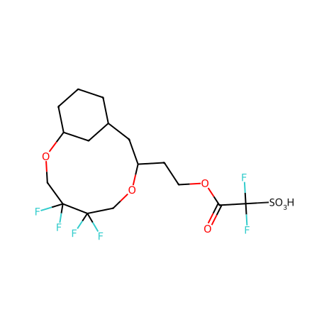 O=C(OCCC1CC2CCCC(C2)OCC(F)(F)C(F)(F)CO1)C(F)(F)S(=O)(=O)O